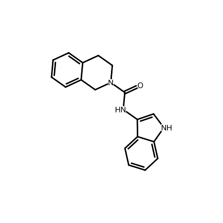 O=C(Nc1c[nH]c2ccccc12)N1CCc2ccccc2C1